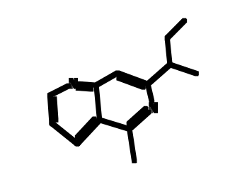 CCC(C)c1cc2ncccc2c(C)n1